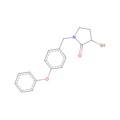 O=C1C(S)CCN1Cc1ccc(Oc2ccccc2)cc1